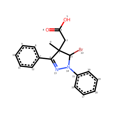 CC1(CC(=O)O)C(c2ccccc2)=NN(c2ccccc2)C1Br